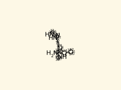 C/C=C(/c1cccc(-c2ccccc2)c1)C(C)(C#CC#Cc1cnc([C@@H]2CCCN2)[nH]1)/N=C(\N)[C@@H]1CCCN1